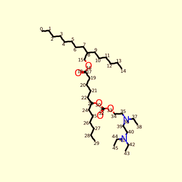 CCCCCCCCC(CCCCCC)COC(=O)CCCCC(CCCCCC)OC(=O)OCCN(CC)CCN(CC)CC